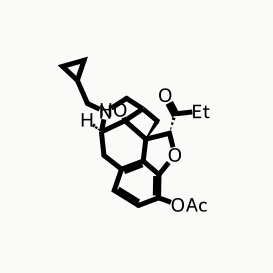 CCC(=O)[C@@H]1Oc2c(OC(C)=O)ccc3c2[C@@]12CC1CN(CC4CC4)[C@H](C3)[C@]12O